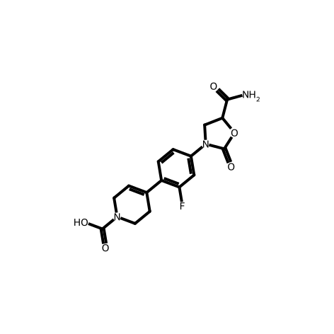 NC(=O)C1CN(c2ccc(C3=CCN(C(=O)O)CC3)c(F)c2)C(=O)O1